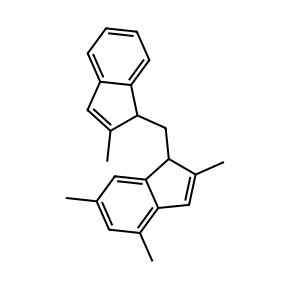 CC1=Cc2ccccc2C1CC1C(C)=Cc2c(C)cc(C)cc21